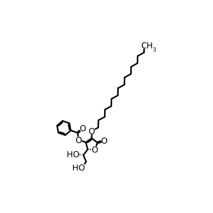 CCCCCCCCCCCCCCCCOC1=C(OC(=O)c2ccccc2)[C@@H]([C@@H](O)CO)OC1=O